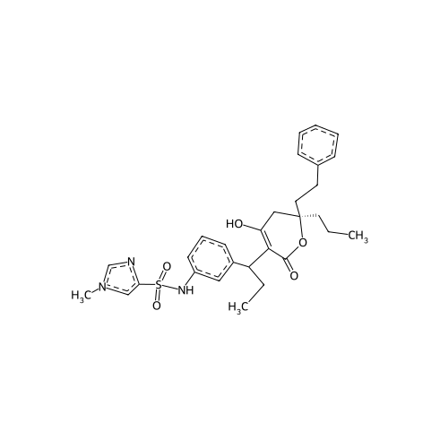 CCC[C@@]1(CCc2ccccc2)CC(O)=C(C(CC)c2cccc(NS(=O)(=O)c3cn(C)cn3)c2)C(=O)O1